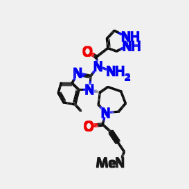 CNCC#CC(=O)N1CCCC[C@@H](n2c(N(N)C(=O)C3=CCNNC3)nc3cccc(C)c32)C1